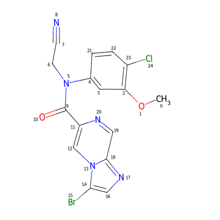 COc1cc(N(CC#N)C(=O)c2cn3c(Br)cnc3cn2)ccc1Cl